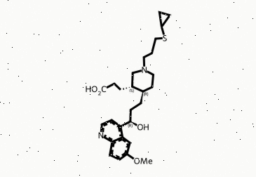 COc1ccc2nccc([C@H](O)CC[C@@H]3CCN(CCCSC4CC4)C[C@H]3CCC(=O)O)c2c1